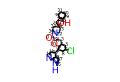 O=C([C@@H]1Cc2cc(Cl)cc(-c3ccnc4[nH]ccc34)c2O1)N1CCC(O)(Cc2ccccc2)CC1